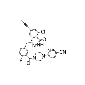 CC#Cc1cc(Cl)c2c(=O)[nH]nc(Cc3ccc(F)c(C(=O)N4CCN(c5ccc(C#N)cn5)CC4)c3)c2c1